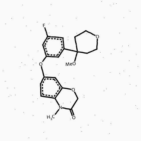 COC1(c2cc(F)cc(Oc3ccc4c(c3)OCC(=O)N4C)c2)CCOCC1